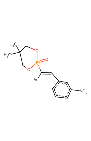 CC(=O)/C(=C\c1cccc([N+](=O)[O-])c1)P1(=O)OCC(C)(C)CO1